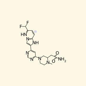 CN1CCN(c2cc(-c3cnc(/C=C\C(=N)C(F)F)[nH]3)ncn2)CC1CS(N)(=O)=O